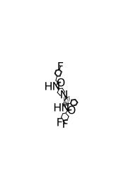 C[C@H](C[C@@H](NC(=O)C1CCC(F)(F)CC1)c1ccccc1)N1CCC(NC(=O)Cc2ccc(F)cc2)CC1